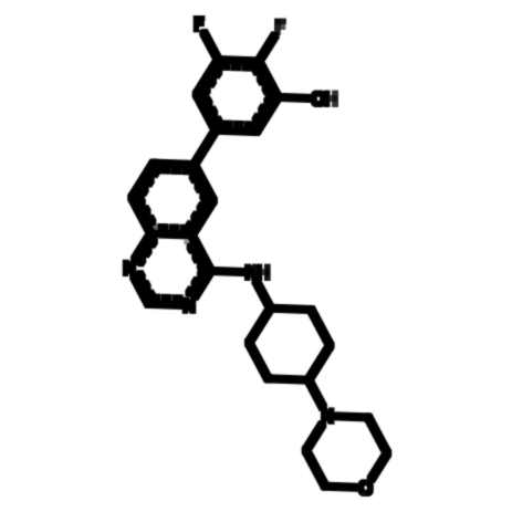 Oc1cc(-c2ccc3ncnc(NC4CCC(N5CCOCC5)CC4)c3c2)cc(F)c1F